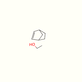 C1=CC2CCC1C2.CCO